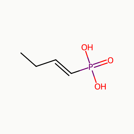 CC/C=C/P(=O)(O)O